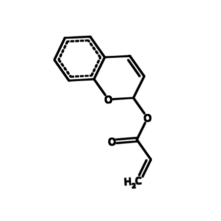 C=CC(=O)OC1C=Cc2ccccc2O1